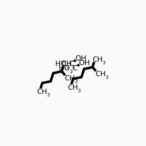 CCCCC(C)C.CCCCC(C)C.O=C(O)O.O=C(O)O